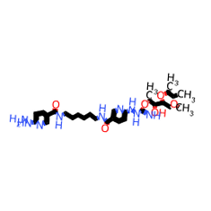 CCC(C)OC(COC)C(O)C(C)OC(=N)NNc1ccc(C(=O)NCCCCCCNC(=O)c2ccc(NN)nc2)cn1